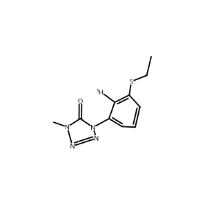 [3H]c1c(SCC)cccc1-n1nnn(C)c1=O